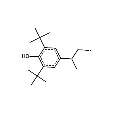 [CH2]CC(C)c1cc(C(C)(C)C)c(O)c(C(C)(C)C)c1